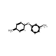 C=C1C=CC(Oc2cccc(C)c2)C=C1